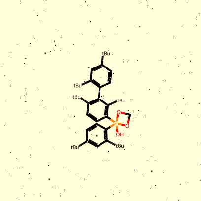 CC(C)(C)c1ccc(-c2c(C(C)(C)C)ccc(P3(O)(c4ccc(C(C)(C)C)cc4C(C)(C)C)OCO3)c2C(C)(C)C)c(C(C)(C)C)c1